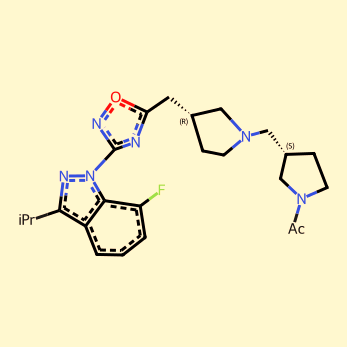 CC(=O)N1CC[C@@H](CN2CC[C@H](Cc3nc(-n4nc(C(C)C)c5cccc(F)c54)no3)C2)C1